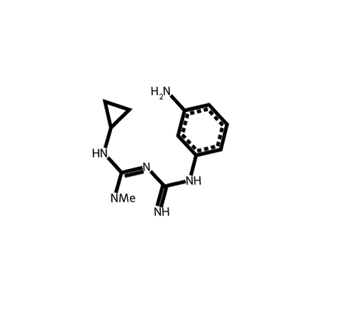 CN/C(=N\C(=N)Nc1cccc(N)c1)NC1CC1